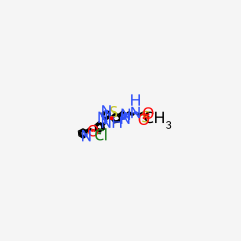 CS(=O)(=O)CCNCCn1cc2c(n1)CCc1c-2sc2ncnc(Nc3ccc(OCc4ccccn4)c(Cl)c3)c12